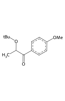 COc1ccc(C(=O)C(C)OC(C)(C)C)cc1